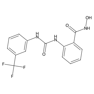 O=C(Nc1cccc(C(F)(F)F)c1)Nc1ccccc1C(=O)NO